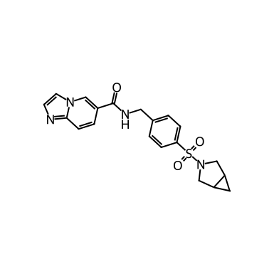 O=C(NCc1ccc(S(=O)(=O)N2CC3CC3C2)cc1)c1ccc2nccn2c1